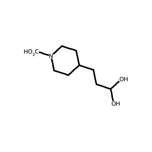 O=C(O)N1CCC(CCC(O)O)CC1